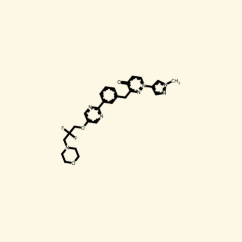 Cn1cc(-n2ccc(=O)c(Cc3cccc(-c4ncc(OCC(F)(F)CN5CCOCC5)cn4)c3)n2)cn1